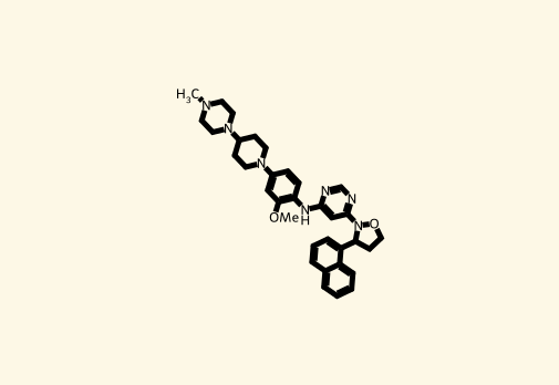 COc1cc(N2CCC(N3CCN(C)CC3)CC2)ccc1Nc1cc(N2OCCC2c2cccc3ccccc23)ncn1